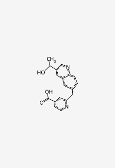 CC(O)c1cnc2ccc(Cc3cc(C(=O)O)ccn3)cc2c1